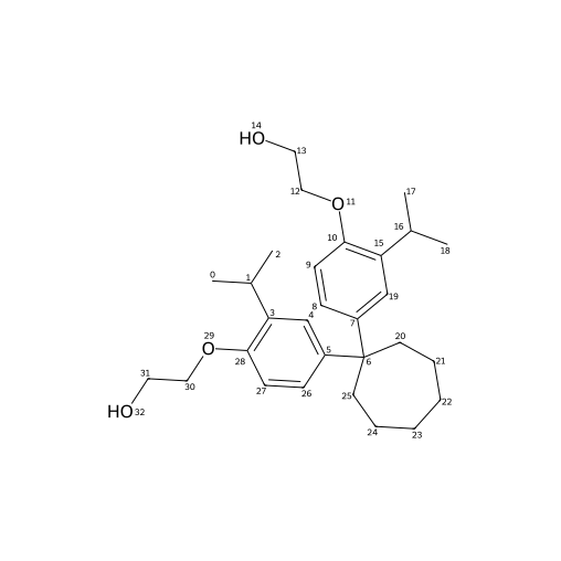 CC(C)c1cc(C2(c3ccc(OCCO)c(C(C)C)c3)CCCCCC2)ccc1OCCO